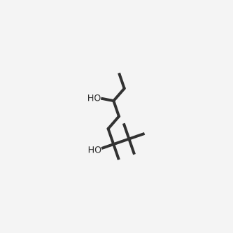 CCC(O)CCC(C)(O)C(C)(C)C